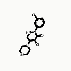 O=C1C(Cl)=C(N2CCNCC2)CNN1c1cccc(Cl)c1